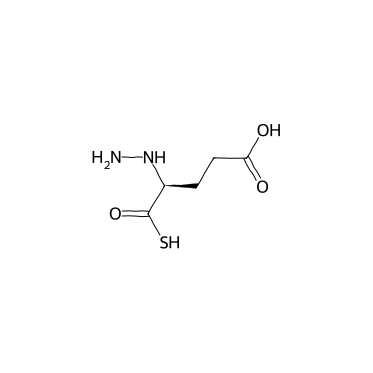 NN[C@@H](CCC(=O)O)C(=O)S